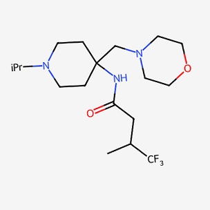 CC(C)N1CCC(CN2CCOCC2)(NC(=O)CC(C)C(F)(F)F)CC1